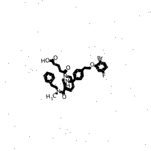 CN(CCc1ccccc1)C(=O)C1=CCC2(c3ccc(CCOc4cc(F)ccc4Br)cc3)CN(C(=O)CCCC(=O)O)CC1N2